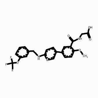 COc1ccc(-c2ccc(NCc3cccc(OC(F)(F)F)c3)nc2)cc1C(=O)NCC(=O)O